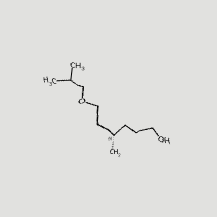 C[C](C)COCC[C@@H](C)CCCO